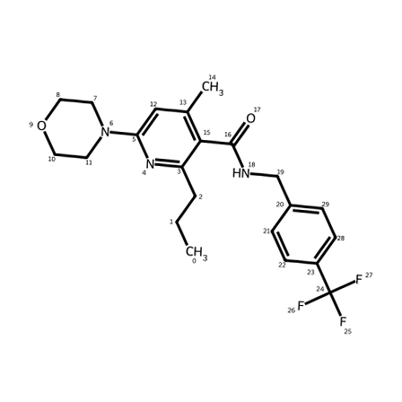 CCCc1nc(N2CCOCC2)cc(C)c1C(=O)NCc1ccc(C(F)(F)F)cc1